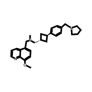 COc1ccc(CN(C)C[C@H]2C[C@H](c3ccc(CN4CCCC4)cc3)C2)c2cccnc12